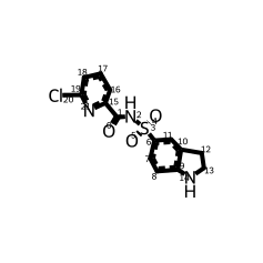 O=C(NS(=O)(=O)c1ccc2c(c1)CCN2)c1cccc(Cl)n1